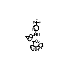 O=C(C1=C(c2nccs2)NCC=C1)N1CC2CC23CC(Nc2ccc(C(F)(F)F)cn2)C13